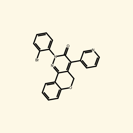 O=c1c(-c2cccnc2)c2c(nn1-c1ccccc1Br)-c1ccccc1OC2